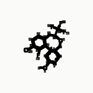 COc1cc2c(cn1)CO[C@H](C(F)(F)F)Cc1ccc(Cl)c(F)c1-2